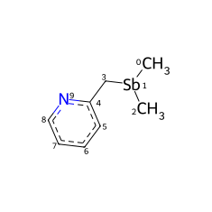 [CH3][Sb]([CH3])[CH2]c1ccccn1